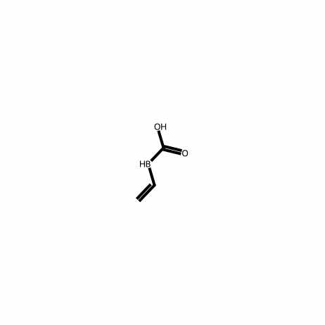 C=CBC(=O)O